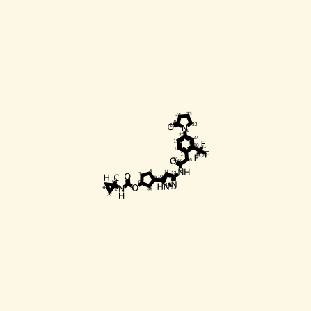 CC1(NC(=O)OC2CCC(c3cc(NC(=O)Cc4ccc(N5CCCC5=O)cc4C(F)(F)F)n[nH]3)C2)CC1